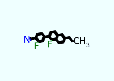 CCCc1ccc2c(F)c(-c3ccc(C#N)c(F)c3)ccc2c1